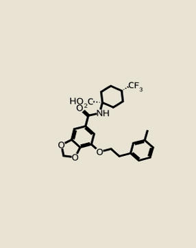 Cc1cccc(CCOc2cc(C(=O)N[C@]3(C(=O)O)CC[C@@H](C(F)(F)F)CC3)cc3c2OCO3)c1